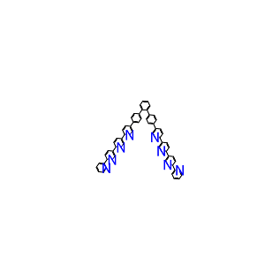 c1ccc(-c2ccc(-c3ccc(-c4ccc(-c5ccc(-c6ccccc6-c6ccc(-c7ccc(-c8ccc(-c9ccc(-c%10ccccn%10)nc9)nc8)nc7)cc6)cc5)cn4)cn3)cn2)nc1